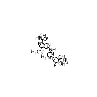 CNC(=O)c1ncc(C(C)C)c2cc(Nc3ccnc(N4C[C@@H](F)[C@@H](O)C(C)(C)C4)n3)ncc12